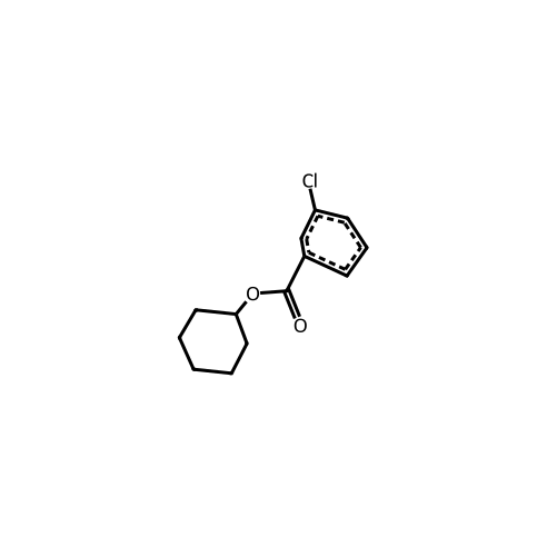 O=C(OC1CCCCC1)c1cccc(Cl)c1